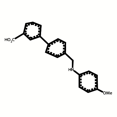 COc1ccc(NCc2ccc(-c3cccc(C(=O)O)c3)cc2)cc1